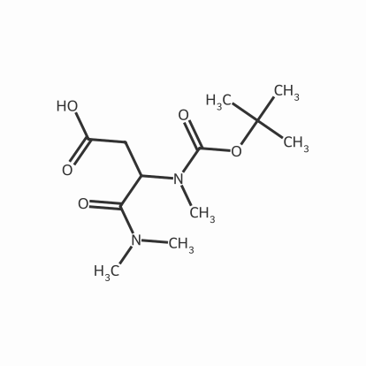 CN(C)C(=O)C(CC(=O)O)N(C)C(=O)OC(C)(C)C